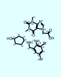 Cn1c(=O)c2c(ncn2CC(=O)O)n(C)c1=O.Nc1c(Br)cc(Br)cc1CN[C@H]1CC[C@H](O)CC1